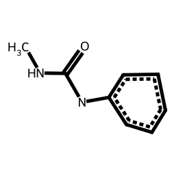 CNC(=O)[N]c1ccccc1